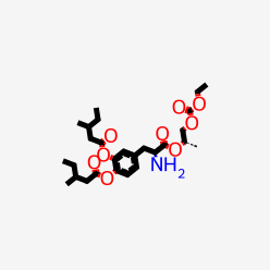 CCOC(=O)OC[C@H](C)OC(=O)[C@@H](N)Cc1ccc(OC(=O)CC(C)CC)c(OC(=O)CC(C)CC)c1